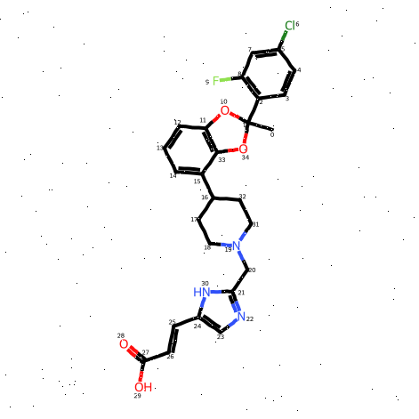 CC1(c2ccc(Cl)cc2F)Oc2cccc(C3CCN(Cc4ncc(/C=C/C(=O)O)[nH]4)CC3)c2O1